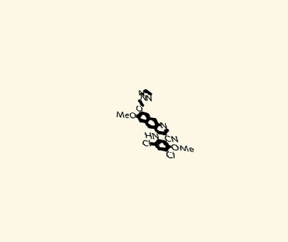 COc1cc(Nc2c(C#N)cnc3cc4cc(OCCn5nccn5)c(OC)cc4cc23)c(Cl)cc1Cl